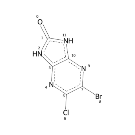 O=c1[nH]c2nc(Cl)c(Br)nc2[nH]1